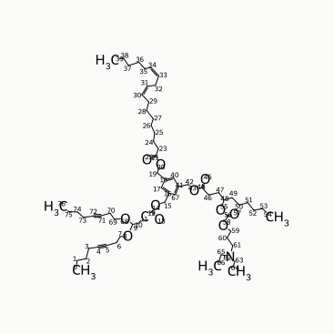 CCCCC#CCCOC(CCC(=O)OCc1cc(COC(=O)CCCCCCC/C=C\C/C=C\CCCCC)cc(COC(=O)CCC(CCCCCC)OC(=O)OCCCN(CC)CC)c1)OCCC#CCCCC